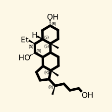 CC[C@@H]1[C@@H](O)C2C3CCC([C@H](C)CCCO)[C@@]3(C)CCC2[C@@]2(C)CC[C@@H](O)C[C@@H]12